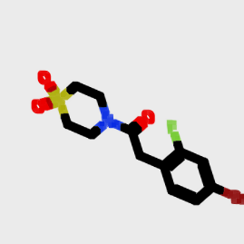 O=C(Cc1ccc(Br)cc1F)N1CCS(=O)(=O)CC1